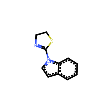 [c]1cccc2ccn(C3=NCCS3)c12